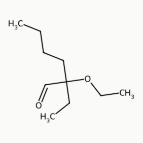 CCCCC(C=O)(CC)OCC